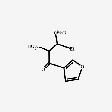 CCCCCC(CC)C(C(=O)O)C(=O)c1ccoc1